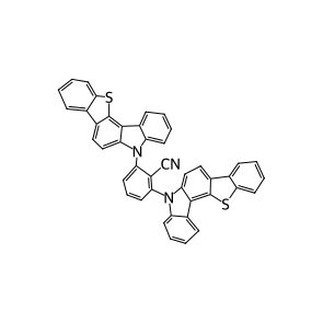 N#Cc1c(-n2c3ccccc3c3c4sc5ccccc5c4ccc32)cccc1-n1c2ccccc2c2c3sc4ccccc4c3ccc21